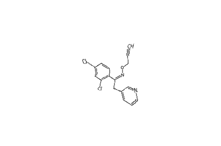 C#CCON=C(Cc1cccnc1)c1ccc(Cl)cc1Cl